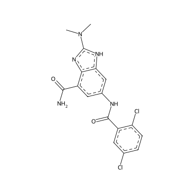 CN(C)c1nc2c(C(N)=O)cc(NC(=O)c3cc(Cl)ccc3Cl)cc2[nH]1